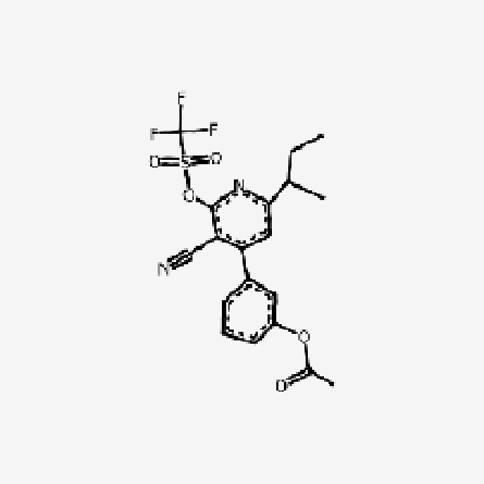 CCC(C)c1cc(-c2cccc(OC(C)=O)c2)c(C#N)c(OS(=O)(=O)C(F)(F)F)n1